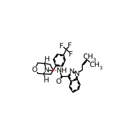 CC(C)=CCn1nc(C(=O)N[C@H]2C[C@H]3COC[C@@H](C2)N3Cc2ccc(C(F)(F)F)cc2)c2ccccc21